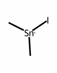 [CH3][Sn]([CH3])[I]